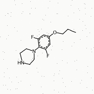 CCCOc1cc(F)c(N2CCNCC2)c(F)c1